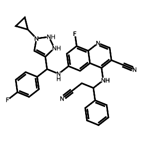 N#CCC(Nc1c(C#N)cnc2c(F)cc(NC(C3=CN(C4CC4)NN3)c3ccc(F)cc3)cc12)c1ccccc1